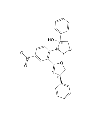 O=[N+]([O-])c1ccc(N2[CH]OC[C@]2(O)c2ccccc2)c(C2=N[C@H](c3ccccc3)CO2)c1